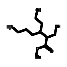 CC(C)(C)OC(=O)C(CO)N(CCO)CCCN